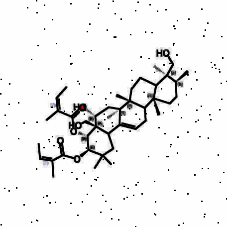 C/C=C(/C)C(=O)O[C@H]1[C@H](OC(=O)/C(C)=C\C)[C@@]2(CO)C(CC1(C)C)C1=CCC3[C@@]4(C)CC[C@H](C)[C@](C)(CO)C4CC[C@@]3(C)[C@]1(C)C[C@H]2O